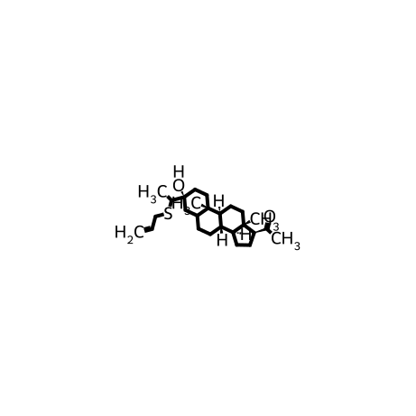 C=CCSC(C)[C@@]1(O)CC[C@@]2(C)C(CC[C@H]3[C@@H]4CC[C@H](C(C)=O)[C@@]4(C)CC[C@@H]32)C1